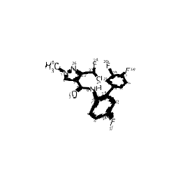 Cn1cc(C(=O)Nc2ccc(F)cc2-c2ccc(F)c(F)c2)c(C(F)Cl)n1